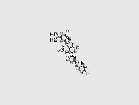 COCCn1c(Cc2cc(F)c(-c3cccc(OCc4ccc(C)cc4F)n3)cc2F)nc2c(I)cc(C(O)O)cc21